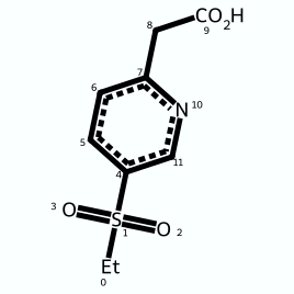 CCS(=O)(=O)c1ccc(CC(=O)O)nc1